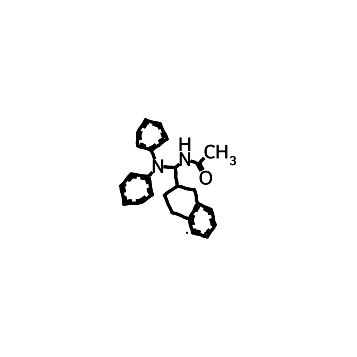 CC(=O)NC(C1CCc2[c]cccc2C1)N(c1ccccc1)c1ccccc1